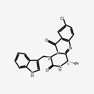 CC(C)[C@@H]1NC(=O)[C@@H](Cc2c[nH]c3ccccc23)n2c1nc1ccc(Cl)cc1c2=O